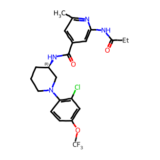 CCC(=O)Nc1cc(C(=O)N[C@@H]2CCCN(c3ccc(OC(F)(F)F)cc3Cl)C2)cc(C)n1